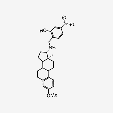 CCN(CC)c1ccc(CN[C@H]2CCC3C4CCc5cc(OC)ccc5C4CC[C@@]32C)c(O)c1